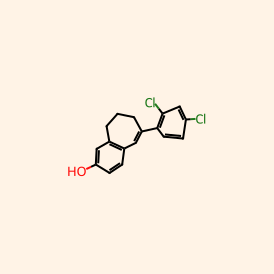 Oc1ccc2c(c1)CCCC(c1ccc(Cl)cc1Cl)=C2